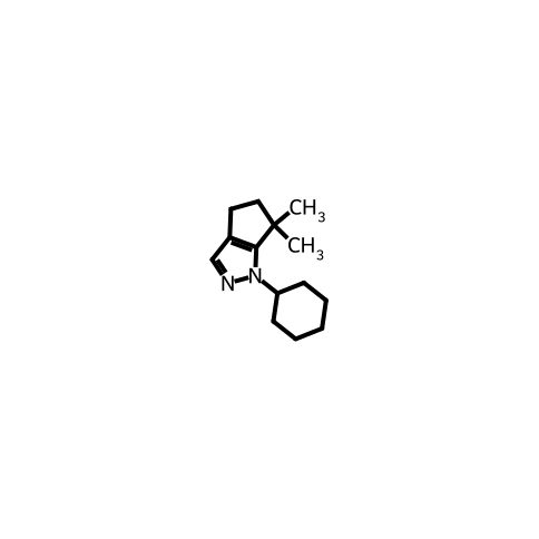 CC1(C)CCc2cnn(C3CCCCC3)c21